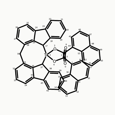 O=C([O][Ti]1([O]C(=O)c2cccc3ccccc23)[CH]2c3ccccc3-c3cccc(c32)Cc2cccc3c2[CH]1c1ccccc1-3)c1cccc2ccccc12